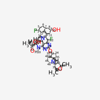 C#Cc1c(F)ccc2cc(O)cc(-c3nc(OC)c4c(N5CCOC[C@@](C)(O)C5)nc(OC[C@]56CCC[C@H]5N(C5C[C@@H](C)O[C@@H](C)C5)CCC6)nc4c3F)c12